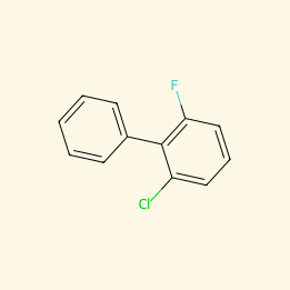 Fc1cccc(Cl)c1-c1ccccc1